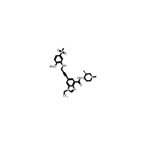 COc1ccc(S(C)(=O)=O)cc1NCC#Cc1cc(C(=O)N[C@H]2CCN(C)C[C@@H]2C)c2ncn(CC(F)(F)F)c2c1